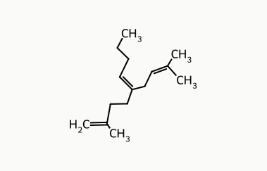 C=C(C)CCC(=CCCC)CC=C(C)C